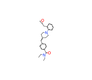 CCN(CC)C(=O)c1ccc(C=C2CCN(c3ccccc3CC3CO3)CC2)cc1